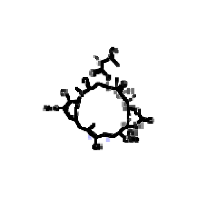 COc1cc2cc(c1Cl)N(C)C(=O)C[C@H](OC(=O)[C@H](C)N(C)C(C)=O)[C@]1(C)O[C@H]1[C@H](C)[C@@H]1C[C@@](O)(NC(=O)O1)C(OC)/C=C/C(O)=C(\C)C2